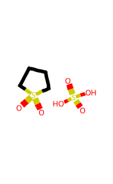 O=S(=O)(O)O.O=S1(=O)CCCC1